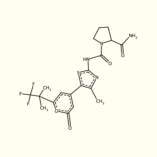 Cc1nc(NC(=O)N2CCCC2C(N)=O)sc1-c1cc(C(C)(C)C(F)(F)F)oc(=O)c1